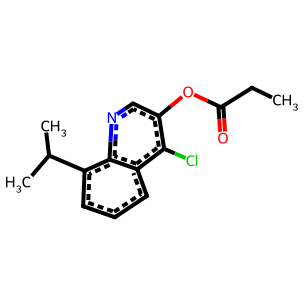 CCC(=O)Oc1cnc2c(C(C)C)cccc2c1Cl